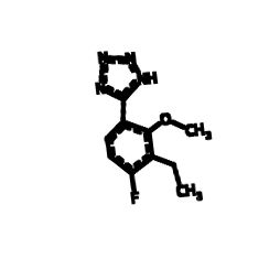 CCc1c(F)ccc(-c2nnn[nH]2)c1OC